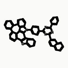 c1ccc(-c2nc(-c3ccc(-n4c5cccc6c5c5c7c(cccc7c7oc8ccccc8c7c54)-c4ccccc4-6)cc3)nc(-c3ccc4ccccc4c3)n2)cc1